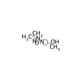 CC(C)c1noc(N2CCC(C(C)O)CC2)n1